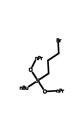 CCCC[Si](CCCBr)(OCCC)OCCC